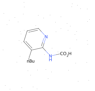 CCCCc1cccnc1NC(=O)O